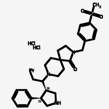 CC(C)CC([C@@H]1CNC[C@@H]1c1ccccc1)N1CCC2(CCN(Cc3ccc(S(C)(=O)=O)cc3)C2=O)CC1.Cl.Cl